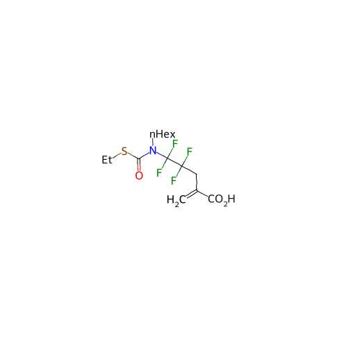 C=C(CC(F)(F)C(F)(F)N(CCCCCC)C(=O)SCC)C(=O)O